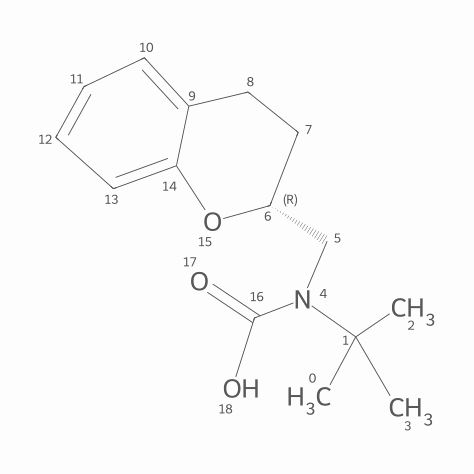 CC(C)(C)N(C[C@H]1CCc2ccccc2O1)C(=O)O